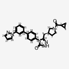 O=C(C1CC1)N1CC[C@@H](Cc2n[nH]c(=O)n2-c2ccc(-c3cccc(-n4cccn4)c3)cc2)C1